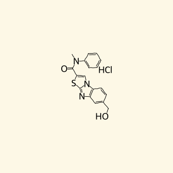 CN(C(=O)c1cn2c(nc3cc(CO)ccc32)s1)c1ccccc1.Cl